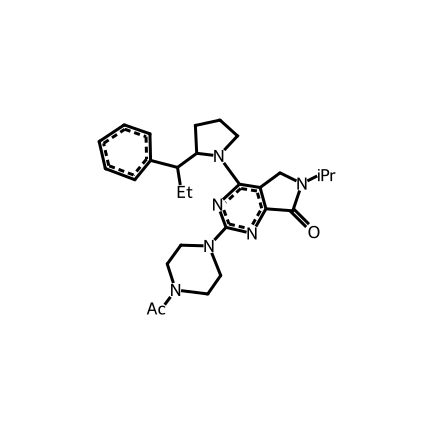 CCC(c1ccccc1)C1CCCN1c1nc(N2CCN(C(C)=O)CC2)nc2c1CN(C(C)C)C2=O